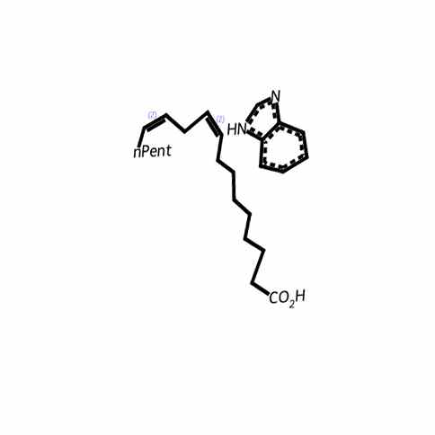 CCCCC/C=C\C/C=C\CCCCCCCC(=O)O.c1ccc2[nH]cnc2c1